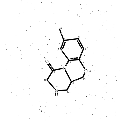 Cc1ccc2c(c1)N1C(=O)CNCC1CO2